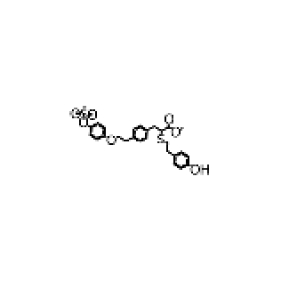 COC(=O)C(Cc1ccc(CCOc2ccc(OS(C)(=O)=O)cc2)cc1)SCCc1ccc(O)cc1